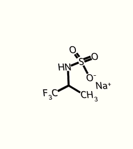 CC(NS(=O)(=O)[O-])C(F)(F)F.[Na+]